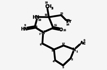 CC(=O)N1CCCC(CN2C(=N)NC(C)(CC(C)C)C2=O)C1